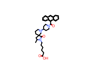 CC1CC2(CCCN(C3CCN(C(=O)c4c5ccccc5cc5ccccc45)CC3)C2)C(=O)N1CCCCCC(=O)O